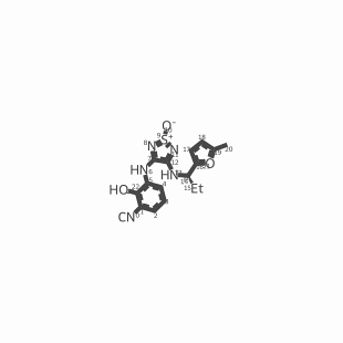 [C-]#[N+]c1cccc(Nc2n[s+]([O-])nc2N[C@H](CC)c2ccc(C)o2)c1O